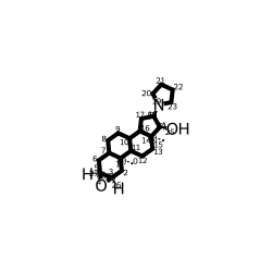 C[C@]12C[C@H]3O[C@H]3CC1CCC1C2CC[C@@]2(C)C1C[C@@H](N1CCCC1)[C@H]2O